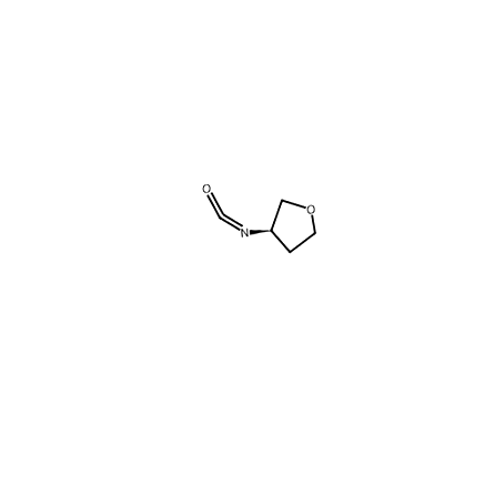 O=C=N[C@@H]1CCOC1